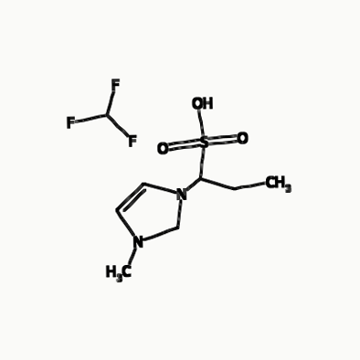 CCC(N1C=CN(C)C1)S(=O)(=O)O.FC(F)F